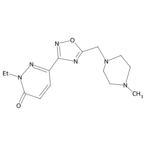 CCn1nc(-c2noc(CN3CCN(C)CC3)n2)ccc1=O